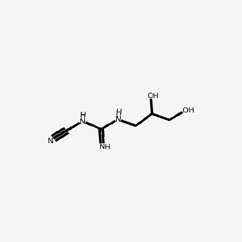 N#CNC(=N)NCC(O)CO